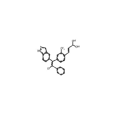 CC/C(=C(/c1ccc(/C=C/C(O)O)c(C(F)(F)F)c1)c1ccc2[nH]ncc2c1)c1ccccc1